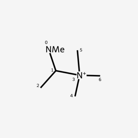 CNC(C)[N+](C)(C)C